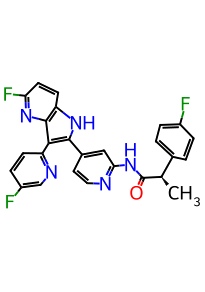 C[C@@H](C(=O)Nc1cc(-c2[nH]c3ccc(F)nc3c2-c2ccc(F)cn2)ccn1)c1ccc(F)cc1